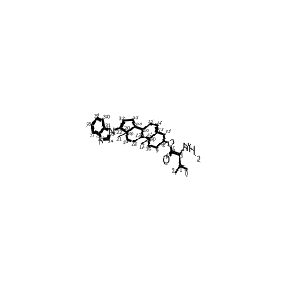 CC(C)C(N)C(=O)O[C@H]1CC[C@@]2(C)C(=CCC3C2CC[C@]2(C)C(n4cnc5ccccc54)=CCC32)C1